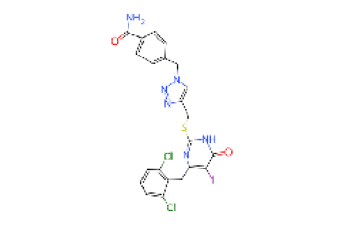 NC(=O)c1ccc(Cn2cc(CSc3nc(Cc4c(Cl)cccc4Cl)c(I)c(=O)[nH]3)nn2)cc1